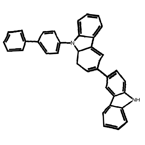 C1=C(c2ccc3[nH]c4ccccc4c3c2)C=C2c3ccccc3N(c3ccc(-c4ccccc4)cc3)C2C1